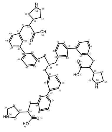 O=C(O)C(Cc1cccc(-c2cccc(CN(Cc3cccc(-c4cccc(CC(C(=O)O)C5CCNC5)c4)c3)Cc3cccc(-c4cccc(CC(C(=O)O)C5CCNC5)c4)c3)c2)c1)C1CCNC1